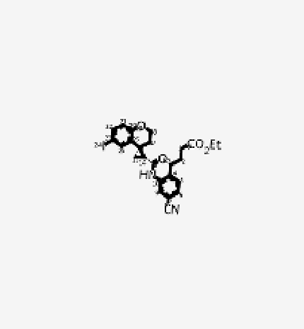 CCOC(=O)CCCc1ccc(C#N)cc1NC(=O)[C@@H]1C[C@]12CCOc1ccc(I)cc12